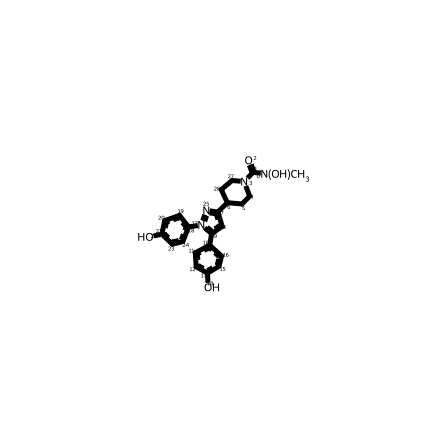 CN(O)C(=O)N1CCC(c2cc(-c3ccc(O)cc3)n(-c3ccc(O)cc3)n2)CC1